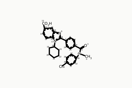 CN(C(=O)c1ccc(-c2nc3cc(C(=O)O)ccc3n2C2CCCCC2)cc1)c1ccc(Cl)cc1